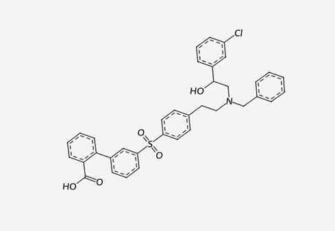 O=C(O)c1ccccc1-c1cccc(S(=O)(=O)c2ccc(CCN(Cc3ccccc3)CC(O)c3cccc(Cl)c3)cc2)c1